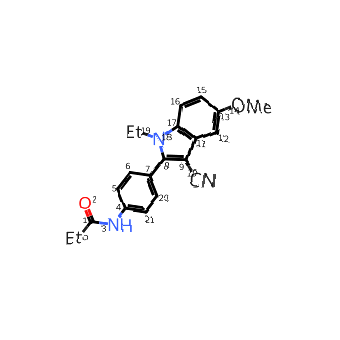 CCC(=O)Nc1ccc(-c2c(C#N)c3cc(OC)ccc3n2CC)cc1